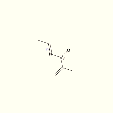 C=C(C)[S@@+]([O-])/N=C/C